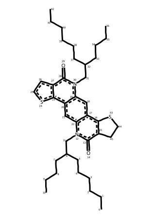 CCCCCCC(CCCC)Cn1c(=O)c2c(c3cc4c(cc31)c1sccc1c(=O)n4CC(CCCC)CCCCCC)SCC2